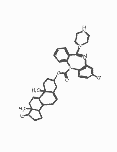 CC(=O)C1CCC2C3CC=C4CC(OC(=O)N5c6ccc(Cl)cc6N=C(N6CCNCC6)c6ccccc65)CCC4(C)C3CCC12C